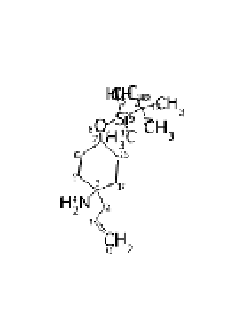 C=CCC1(N)CCC(O[Si](C)(C)C(C)(C)C)CC1